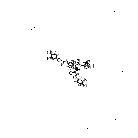 O=C(COc1ccc(Cl)c(F)c1)NC12CCC(NC(=O)COc3ccc(Cl)c(F)c3)(CC1)[C@@H](OC(=O)COP(=O)(O)O)C2